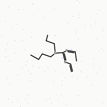 C=C/N=C(\N=C/C)N(CCC)CCCC